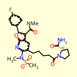 CNC(=O)c1c(-c2ccc(F)cc2)oc2nc(N(C)S(C)(=O)=O)c(CCCCC(=O)N3CCC[C@H]3C(N)=O)cc12